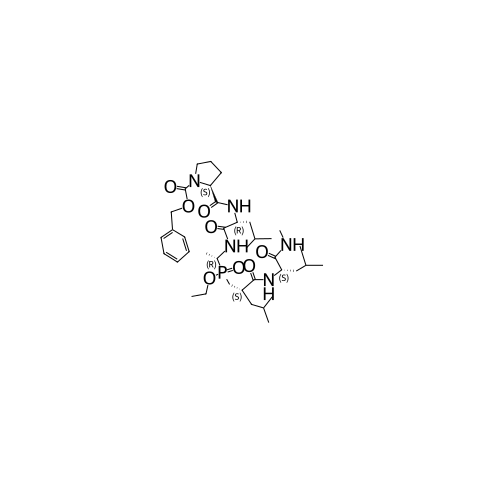 CCOP(=O)(C[C@@H](CC(C)C)C(=O)N[C@@H](CC(C)C)C(=O)NC)[C@H](C)NC(=O)[C@@H](CC(C)C)NC(=O)[C@@H]1CCCN1C(=O)OCc1ccccc1